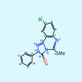 CSc1nc2ccc(Br)cc2c2nn(-c3ccccc3)c(=O)n12